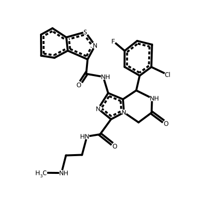 CNCCNC(=O)c1nc(NC(=O)c2nsc3ccccc23)c2n1CC(=O)NC2c1cc(F)ccc1Cl